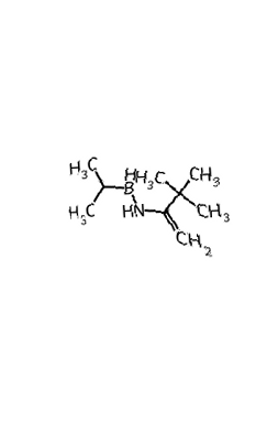 C=C(NBC(C)C)C(C)(C)C